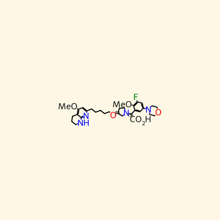 COc1cc(CCCCCO[C@@H]2CCN([C@H](C(=O)O)c3cc(N4CCOCC4)cc(F)c3OC)C2)nc2c1CCCN2